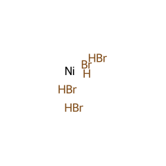 Br.Br.Br.Br.[Ni]